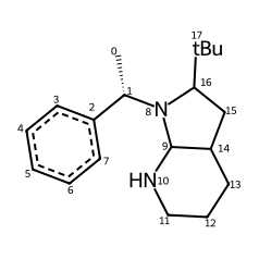 C[C@@H](c1ccccc1)N1C2NCCCC2CC1C(C)(C)C